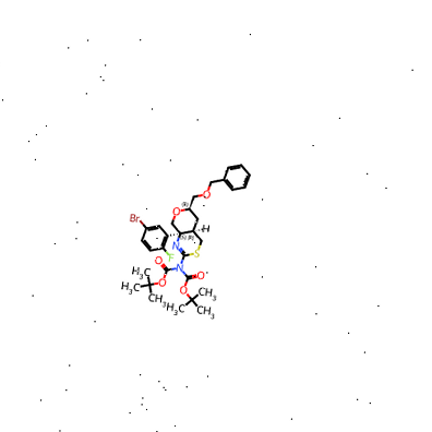 CC(C)(C)OC(=O)N(C(=O)OC(C)(C)C)C1=N[C@@]2(c3cc(Br)ccc3F)CO[C@@H](COCc3ccccc3)C[C@H]2CS1